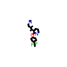 C=N/C=C\C(C)=C(/C)c1cccnc1Oc1ccc(C(C)(F)F)cc1